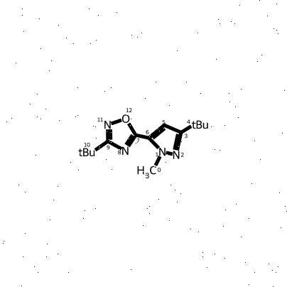 Cn1nc(C(C)(C)C)cc1-c1nc(C(C)(C)C)no1